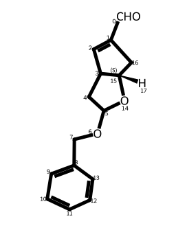 O=CC1=CC2CC(OCc3ccccc3)O[C@H]2C1